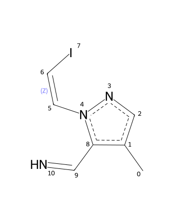 Cc1cnn(/C=C\I)c1C=N